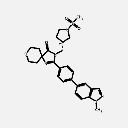 Cn1ncc2cc(-c3ccc(C4=NC5(CCOCC5)C(=O)N4C[C@@H]4CCN(S(C)(=O)=O)C4)cc3)ccc21